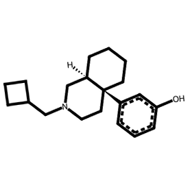 Oc1cccc([C@]23CCCC[C@@H]2CN(CC2CCC2)CC3)c1